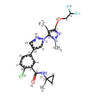 Cn1nc(OCC(F)F)c(C(F)(F)F)c1-n1cc(-c2ccc(Cl)c(C(=O)NC3(C#N)CC3)c2)cn1